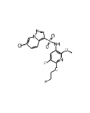 COc1nc(OCCF)c(F)cc1NS(=O)(=O)c1cnn2cc(Cl)ccc12